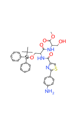 COC(=O)C(CO)NC(=O)C(CO[Si](c1ccccc1)(c1ccccc1)C(C)(C)C)NC(=O)c1csc(-c2ccc(N)cc2)n1